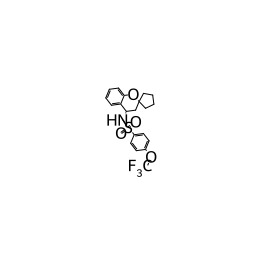 O=S(=O)(N[C@H]1CC2(CCCC2)Oc2ccccc21)c1ccc(OC(F)(F)F)cc1